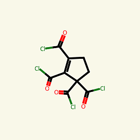 O=C(Cl)C1=C(C(=O)Cl)C(C(=O)Cl)(C(=O)Cl)CC1